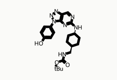 CC(C)(C)OC(=O)NC[C@H]1CC[C@H](Nc2ncc3nnn(-c4ccc(O)cc4)c3n2)CC1